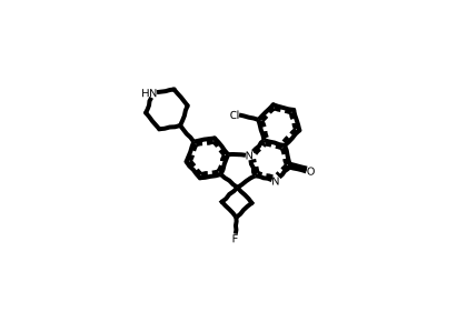 O=c1nc2n(c3c(Cl)cccc13)-c1cc(C3CCNCC3)ccc1C21CC(F)C1